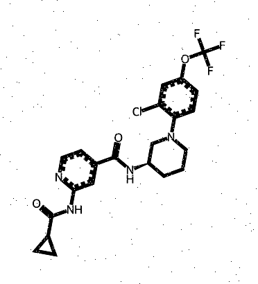 O=C(N[C@@H]1CCCN(c2ccc(OC(F)(F)F)cc2Cl)C1)c1ccnc(NC(=O)C2CC2)c1